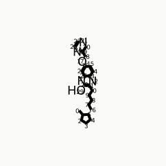 CC1CCC[C@H]1CCCCCc1nc2ccc(OCc3cnccn3)cc2nc1O